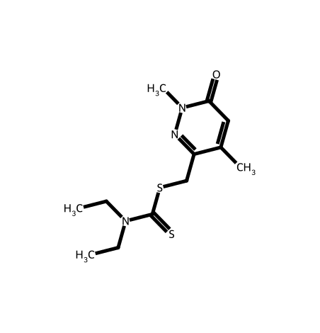 CCN(CC)C(=S)SCc1nn(C)c(=O)cc1C